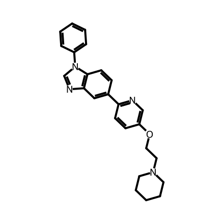 c1ccc(-n2cnc3cc(-c4ccc(OCCN5CCCCC5)cn4)ccc32)cc1